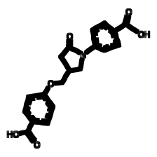 O=C(O)c1ccc(OCC2CC(=O)N(c3ccc(C(=O)O)cc3)C2)cc1